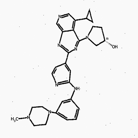 CN1CCN(c2cccc(Nc3cc(-c4nc(N5CC[C@H](O)C5)c5c(C6CC6)cncc5n4)ccn3)c2)CC1